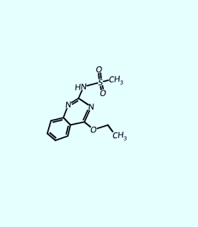 CCOc1nc(NS(C)(=O)=O)nc2ccccc12